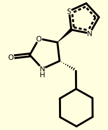 O=C1N[C@@H](CC2CCCCC2)[C@H](c2nccs2)O1